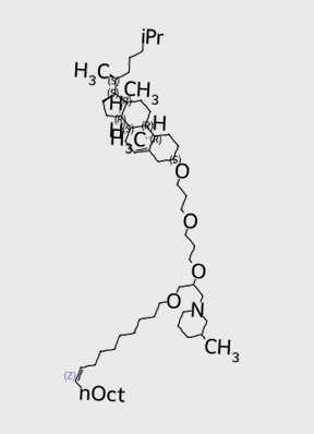 CCCCCCCC/C=C\CCCCCCCCOCC(CN1CCCC(C)C1)OCCCOCCCO[C@H]1CC[C@@]2(C)C(=CC[C@H]3[C@H]4CC[C@@H]([C@@H](C)CCCC(C)C)[C@@]4(C)CC[C@H]32)C1